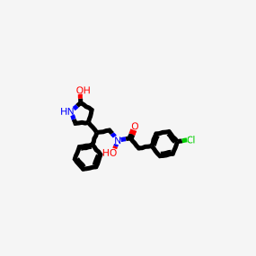 O=C(Cc1ccc(Cl)cc1)N(O)CC(c1ccccc1)C1CNC(O)C1